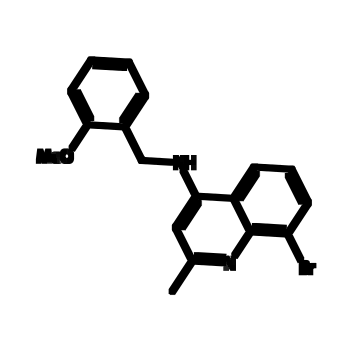 COc1ccccc1CNc1cc(C)nc2c(Br)cccc12